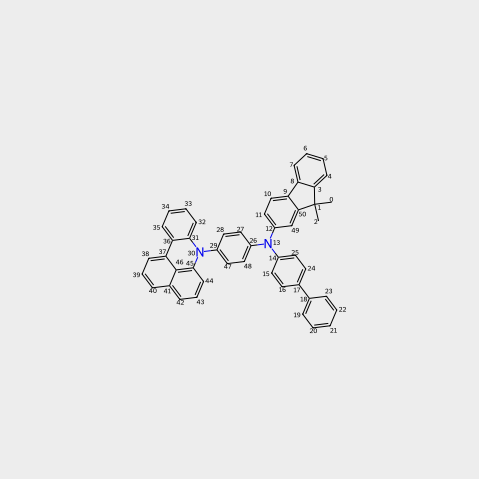 CC1(C)c2ccccc2-c2ccc(N(c3ccc(-c4ccccc4)cc3)c3ccc(N4c5ccccc5-c5cccc6cccc4c56)cc3)cc21